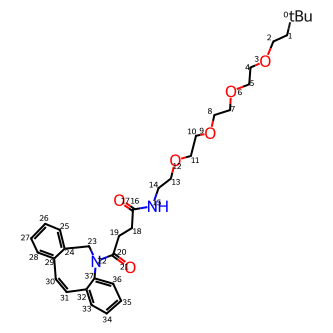 CC(C)(C)CCOCCOCCOCCOCCNC(=O)CCC(=O)N1Cc2ccccc2/C=C\c2ccccc21